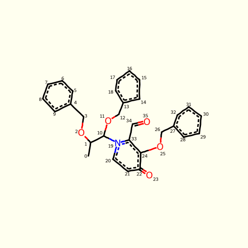 CC(OCc1ccccc1)C(OCc1ccccc1)n1ccc(=O)c(OCc2ccccc2)c1C=O